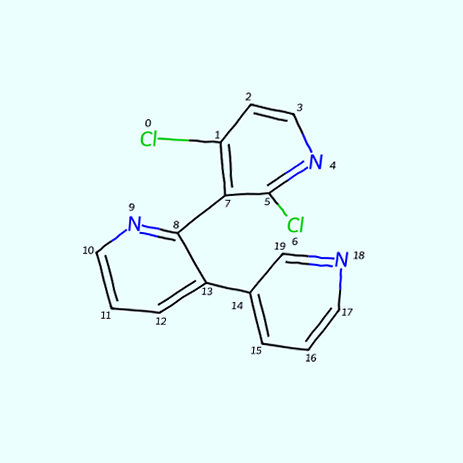 Clc1ccnc(Cl)c1-c1ncccc1-c1cccnc1